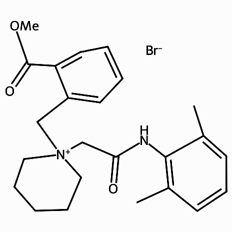 COC(=O)c1ccccc1C[N+]1(CC(=O)Nc2c(C)cccc2C)CCCCC1.[Br-]